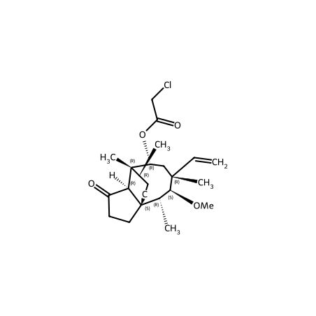 C=C[C@@]1(C)C[C@@H](OC(=O)CCl)[C@]2(C)[C@H](C)CC[C@]3(CCC(=O)[C@H]32)[C@@H](C)[C@@H]1OC